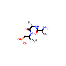 CCC[C@H](NC(=O)[C@@H](N)CCC)C(=O)NC(C[PH](=O)O)C(=O)O